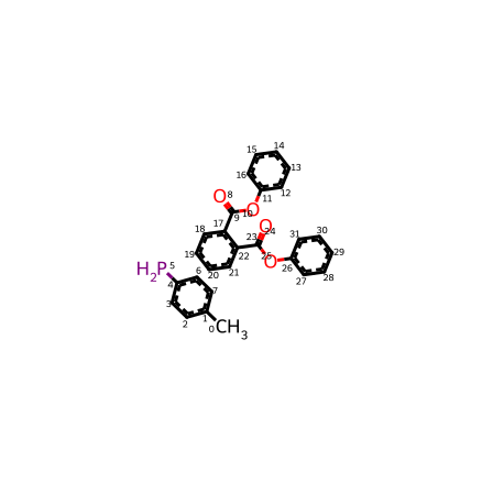 Cc1ccc(P)cc1.O=C(Oc1ccccc1)c1ccccc1C(=O)Oc1ccccc1